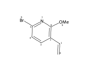 C=Cc1ccc(Br)nc1OC